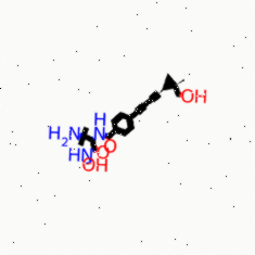 CC(C)(N)C(NC(=O)c1ccc(C#CC#C[C@@H]2C[C@@]2(C)CO)cc1)C(=O)NO